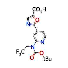 CC(C)(C)OC(=O)N(CC(F)(F)F)c1cc(-c2ncc(C(=O)O)o2)ccn1